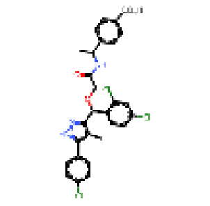 Cc1c(C(OCC(=O)NC(C)c2ccc(C(=O)O)cc2)c2ccc(Cl)cc2Cl)n[nH]c1-c1ccc(Cl)cc1